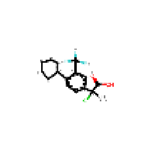 CC(Cl)(C(=O)O)c1ccc(C2CCCCC2)c(C(F)(F)F)c1